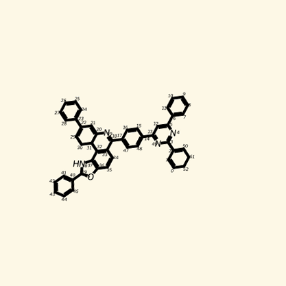 C1=CC(c2nc(-c3ccccc3)cc(-c3ccc(C4=NC5=CC(c6ccccc6)=CCC5c5c4ccc4c5NC(c5ccccc5)O4)cc3)n2)=CCC1